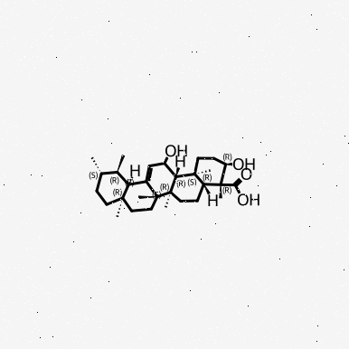 C[C@H]1[C@H]2C3=CC(O)[C@@H]4[C@@]5(C)CC[C@@H](O)[C@](C)(C(=O)O)[C@@H]5CC[C@@]4(C)[C@]3(C)CC[C@@]2(C)CC[C@@H]1C